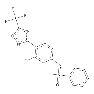 CS(=O)(=Nc1ccc(-c2noc(C(F)(F)F)n2)c(F)c1)c1ccccc1